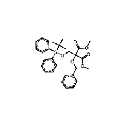 COC(=O)C(CO[Si](c1ccccc1)(c1ccccc1)C(C)(C)C)(OCc1ccccc1)C(=O)OC